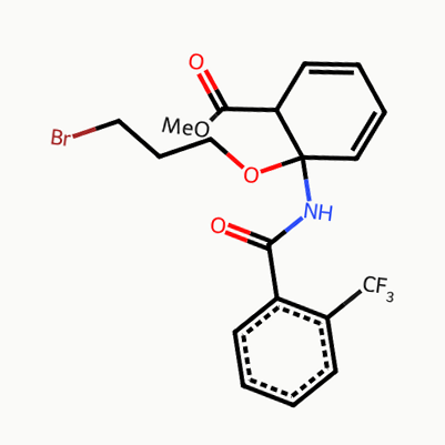 COC(=O)C1C=CC=CC1(NC(=O)c1ccccc1C(F)(F)F)OCCCBr